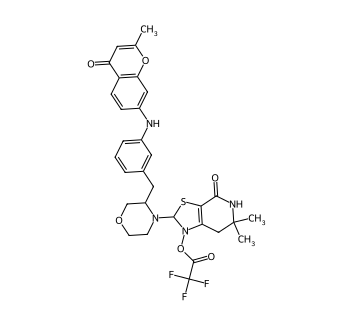 Cc1cc(=O)c2ccc(Nc3cccc(CC4COCCN4C4SC5=C(CC(C)(C)NC5=O)N4OC(=O)C(F)(F)F)c3)cc2o1